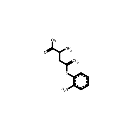 C=C(CC(N)C(=O)O)Sc1ccccc1N